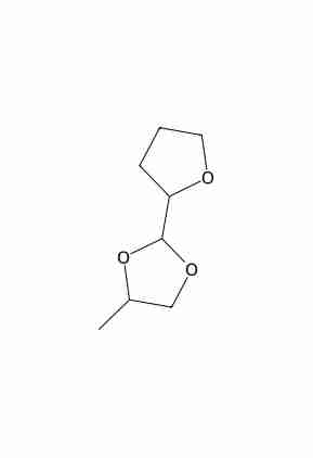 CC1COC(C2CCCO2)O1